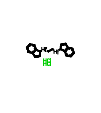 C1=C[CH]([Hf][CH2][CH2][Hf][CH]2C=Cc3ccccc32)c2ccccc21.Cl.Cl